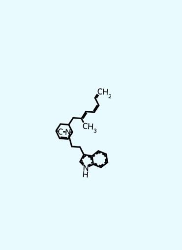 C=C/C=C\C=C(/C)CC1CC2C=CC1N(CCc1c[nH]c3ccccc13)C2